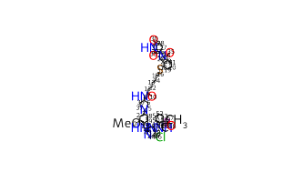 COc1cc(N2CCC(NC(=O)CCCCCCSc3cccc4c3CN(C3CCC(=O)NC3=O)C4=O)CC2)ccc1Nc1ncc(Cl)c(Nc2ccccc2P(C)(C)=O)n1